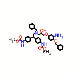 COC(=O)Nc1ccc(C(CN(Cc2ccccc2)C[C@H](O)COc2ccc(OCc3ccccc3)c(N)c2)c2ccc(NC(=O)OC)cc2)cc1